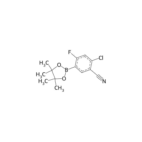 CC1(C)OB(c2cc(C#N)c(Cl)cc2F)OC1(C)C